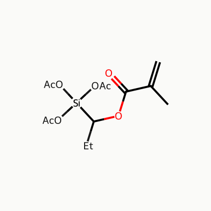 C=C(C)C(=O)OC(CC)[Si](OC(C)=O)(OC(C)=O)OC(C)=O